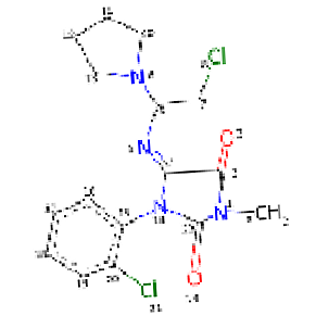 CN1C(=O)/C(=N\C(CCl)N2CCCC2)N(c2ccccc2Cl)C1=O